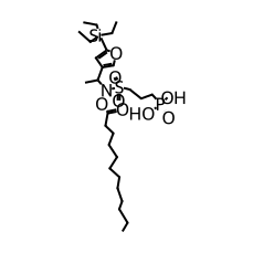 CCCCCCCCCCCC(=O)ON(C(C)c1coc([Si](CC)(CC)CC)c1)S(=O)(=O)CCCP(=O)(O)O